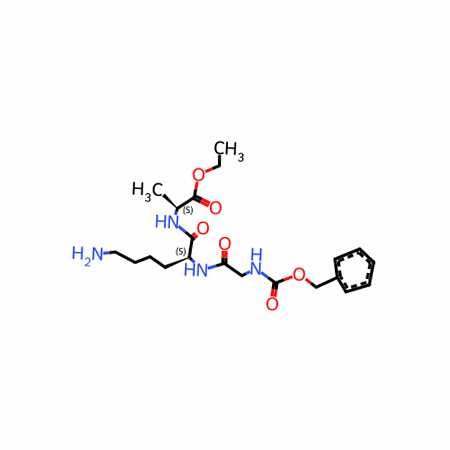 CCOC(=O)[C@H](C)NC(=O)[C@H](CCCCN)NC(=O)CNC(=O)OCc1ccccc1